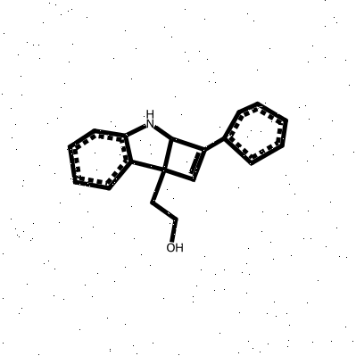 OCCC12C=C(c3ccccc3)C1Nc1ccccc12